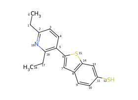 CCc1ccc(-c2cc3ccc(S)cc3s2)c(CC)n1